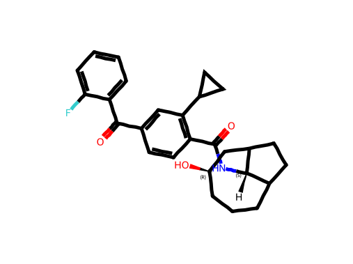 O=C(c1ccc(C(=O)N[C@H]2C3CCC[C@@H](O)CC2CC3)c(C2CC2)c1)c1ccccc1F